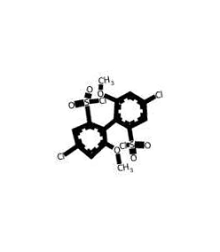 COc1cc(Cl)cc(S(=O)(=O)Cl)c1-c1c(OC)cc(Cl)cc1S(=O)(=O)Cl